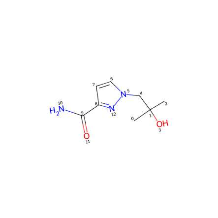 CC(C)(O)Cn1ccc(C(N)=O)n1